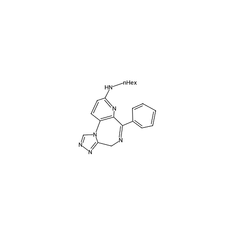 CCCCCCNc1ccc2c(n1)C(c1ccccc1)=NCc1nncn1-2